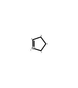 C1=[N+]CCC1